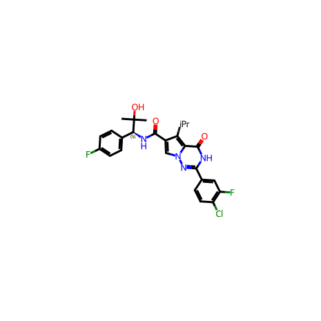 CC(C)c1c(C(=O)N[C@@H](c2ccc(F)cc2)C(C)(C)O)cn2nc(-c3ccc(Cl)c(F)c3)[nH]c(=O)c12